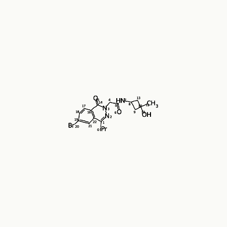 CC(C)c1nn(CC(=O)NC2CC(C)(O)C2)c(=O)c2ccc(Br)cc12